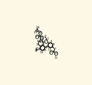 CCOc1ccc(CC(=O)OC)cc1-c1ccc(F)c2c1CN(OC(=O)OC1CC1)CC2